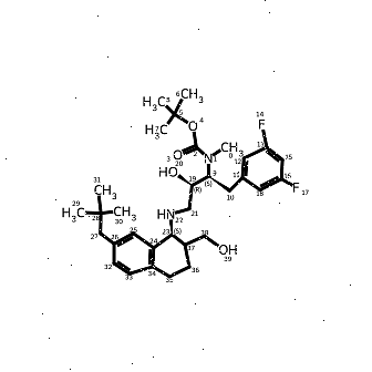 CN(C(=O)OC(C)(C)C)[C@@H](Cc1cc(F)cc(F)c1)[C@H](O)CN[C@@H]1c2cc(CC(C)(C)C)ccc2CCC1CO